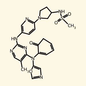 Cc1cnc(Nc2ccc(N3CCC(NS(C)(=O)=O)C3)nc2)nc1N(C1=CC=CCC1=O)c1cnco1